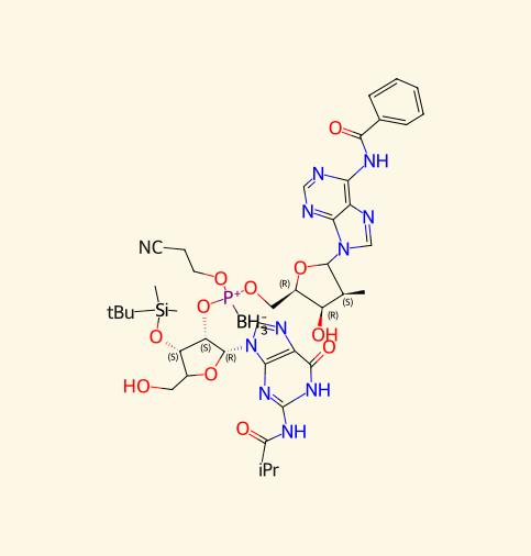 [BH3-][P+](OCCC#N)(OC[C@H]1OC(n2cnc3c(NC(=O)c4ccccc4)ncnc32)[C@@H](C)[C@H]1O)O[C@@H]1[C@H](n2cnc3c(=O)[nH]c(NC(=O)C(C)C)nc32)OC(CO)[C@@H]1O[Si](C)(C)C(C)(C)C